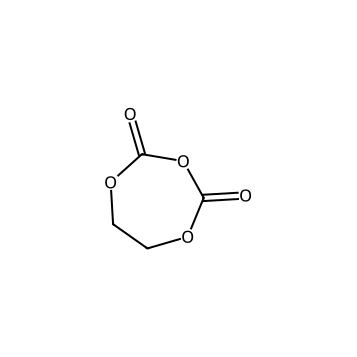 O=C1OCCOC(=O)O1